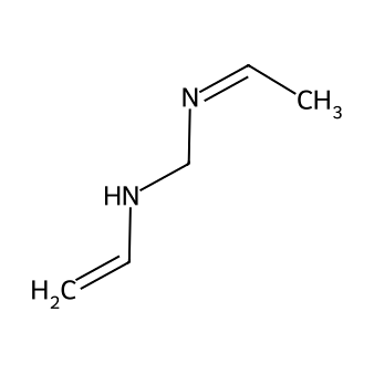 C=CNC/N=C\C